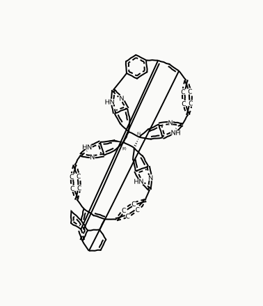 C1=CC2C3=CC4=c5ccc6c(c52)C1C1=CC=6c2ccc(cc2)-c2nc5c([nH]2)=CC2(C=5)[C@]5(C=c6nc([nH]c6=C5)-c5ccc1cc5)C1(C=c5nc([nH]c5=C1)-c1ccc3cc1)[C@]21C=c2nc([nH]c2=C1)-c1ccc4cc1